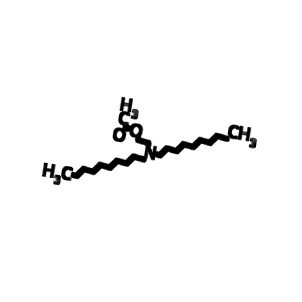 CCCCCCCCCCN(CCCCCCCCCC)CCOC(C)=O